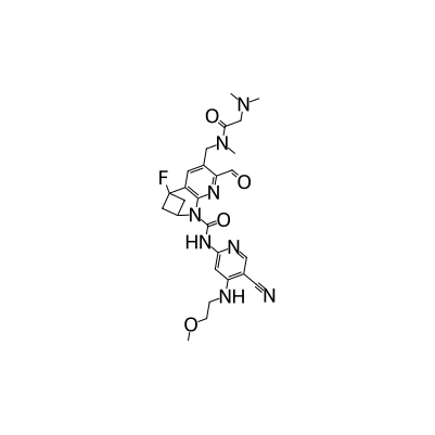 COCCNc1cc(NC(=O)N2c3nc(C=O)c(CN(C)C(=O)CN(C)C)cc3C3(F)CC2C3)ncc1C#N